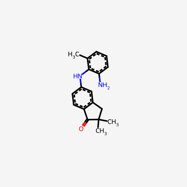 Cc1cccc(N)c1Nc1ccc2c(c1)CC(C)(C)C2=O